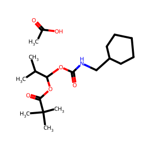 CC(=O)O.CC(C)C(OC(=O)NCC1CCCCC1)OC(=O)C(C)(C)C